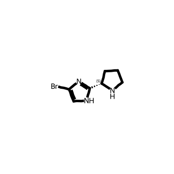 Brc1c[nH]c([C@@H]2CCCN2)n1